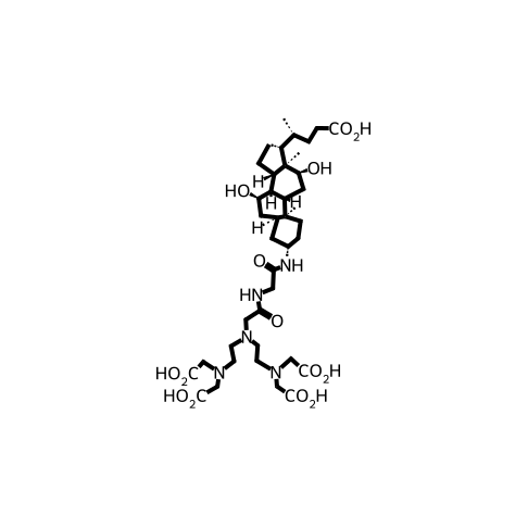 C[C@H](CCC(=O)O)[C@H]1CC[C@H]2[C@@H]3[C@H](O)C[C@@H]4C[C@@H](NC(=O)CNC(=O)CN(CCN(CC(=O)O)CC(=O)O)CCN(CC(=O)O)CC(=O)O)CC[C@]4(C)[C@H]3C[C@H](O)[C@]12C